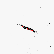 CCCCCCCC1CCC(c2ccc(OC(=O)c3ccc(CCCCCC)cc3)cc2)CC1